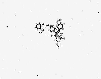 COc1ccccc1COCc1ccc(C(=O)NC(CCSC)C(=O)O)c(-c2ccccc2C)c1.[LiH]